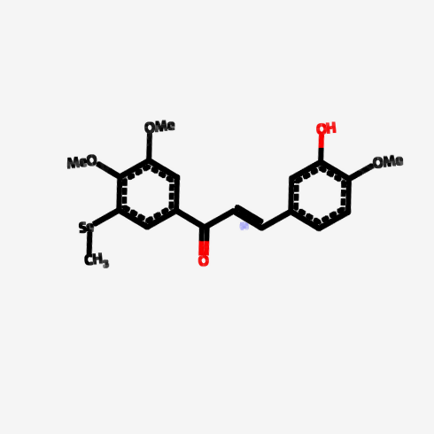 COc1ccc(/C=C/C(=O)c2cc(OC)c(OC)c([Se]C)c2)cc1O